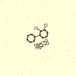 Clc1cccc(-c2ccccc2)c1Cl.N=C=O.N=C=O